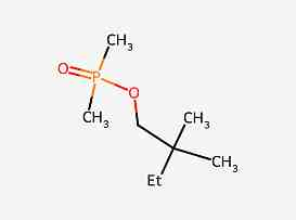 CCC(C)(C)COP(C)(C)=O